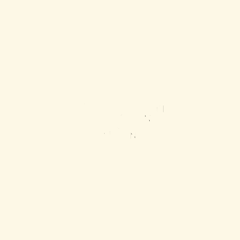 CCC1(c2cc#ccc2)C(=O)N(C)CN(Cl)C1=O